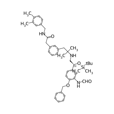 Cc1ccc(CNC(=O)Cc2cccc(CC(C)(C)NC[C@@H](O[Si](C)(C)C(C)(C)C)c3ccc(OCc4ccccc4)c(NC=O)c3)c2)cc1C